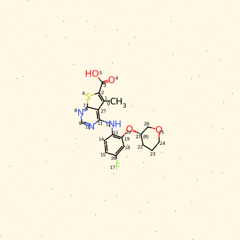 Cc1c(C(=O)O)sc2ncnc(Nc3ccc(F)cc3O[C@@H]3CCCOC3)c12